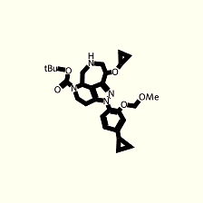 COCOc1cc(C2CC2)ccc1-n1nc2c3c1CCN(C(=O)OC(C)(C)C)C3CNCC2OC1CC1